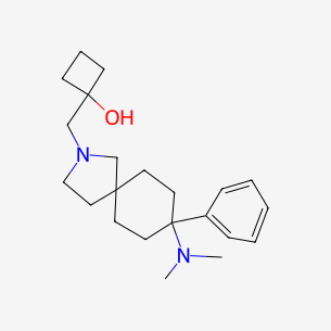 CN(C)C1(c2ccccc2)CCC2(CCN(CC3(O)CCC3)C2)CC1